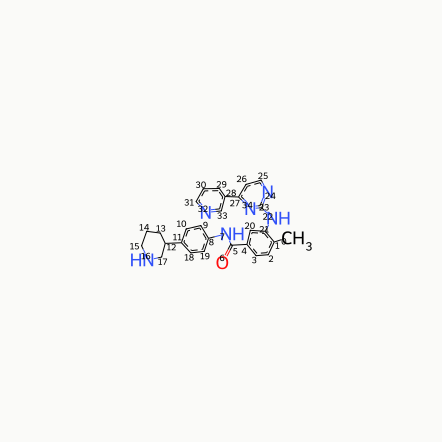 Cc1ccc(C(=O)Nc2ccc(C3CCCNC3)cc2)cc1Nc1nccc(-c2cccnc2)n1